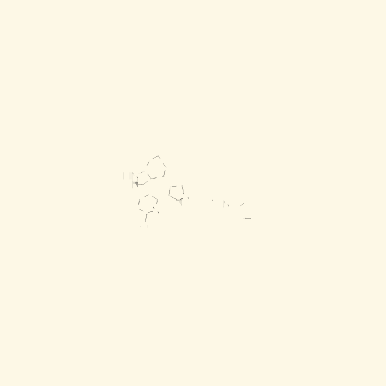 C=CC(=O)N1CC2(CC(n3nc(-c4cccc(=O)n4C)c(-c4c(Cl)ccc5[nH]ncc45)c3C)C2)C1